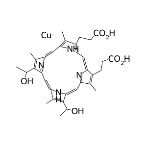 CC1=C(CCC(=O)O)c2cc3[nH]c(cc4nc(cc5[nH]c(cc1n2)c(C(C)O)c5C)C(C(C)O)=C4C)c(C)c3CCC(=O)O.[Cu]